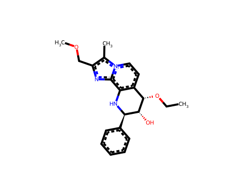 CCO[C@H]1c2ccn3c(C)c(COC)nc3c2N[C@H](c2ccccc2)[C@H]1O